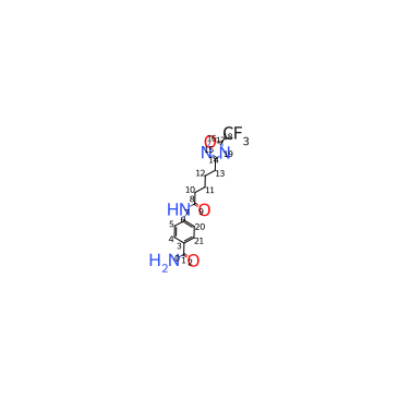 NC(=O)c1ccc(NC(=O)CCCCc2noc(C(F)(F)F)n2)cc1